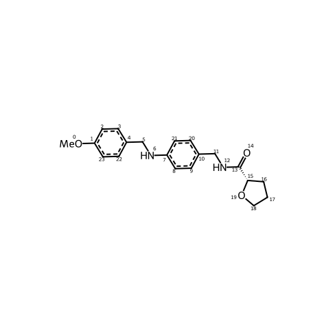 COc1ccc(CNc2ccc(CNC(=O)[C@@H]3CCCO3)cc2)cc1